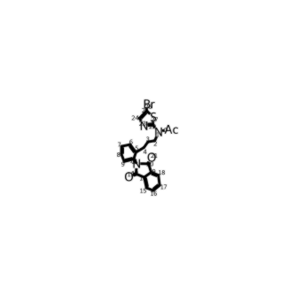 CC(=O)N(CCCc1ccccc1N1C(=O)c2ccccc2C1=O)c1ncc(Br)s1